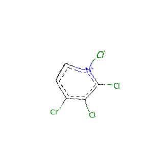 Clc1cc[n+](Cl)c(Cl)c1Cl